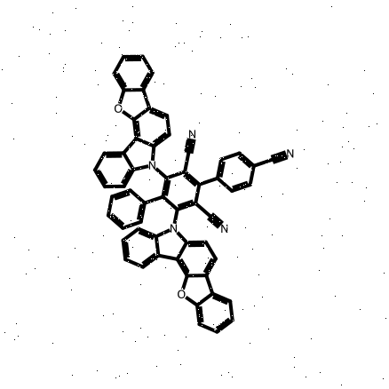 N#Cc1ccc(-c2c(C#N)c(-n3c4ccccc4c4c5oc6ccccc6c5ccc43)c(-c3ccccc3)c(-n3c4ccccc4c4c5oc6ccccc6c5ccc43)c2C#N)cc1